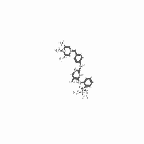 C[C@@H]1CN(Cc2ccc(Nc3ncc(Cl)c(Nc4ccccc4S(=O)(=O)N(C)C)n3)cc2)C[C@H](C)N1C